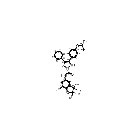 O=C(Nc1cc(F)c2c(c1)C(F)(F)C(F)(F)O2)N1CC(c2ccccc2)=C(c2ccc(OC(F)F)cc2)N1